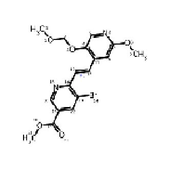 COCOc1cnc(OC)cc1/C=C/c1ncc(C(=O)OC)cc1Br